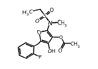 CCS(=O)(=O)N(C)c1oc(-c2ccccc2F)c(O)c1OC(C)=O